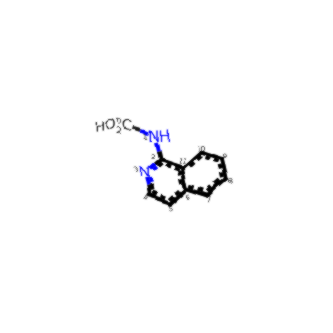 O=C(O)Nc1nccc2ccccc12